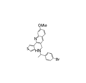 COc1ccc2cc(CNC(C)c3ccc(Br)cc3)c(-c3ccsc3)nc2c1